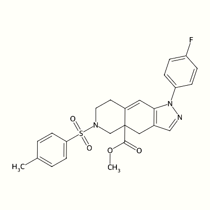 COC(=O)C12Cc3cnn(-c4ccc(F)cc4)c3C=C1CCN(S(=O)(=O)c1ccc(C)cc1)C2